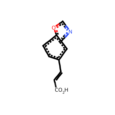 O=C(O)C=Cc1ccc2ocnc2c1